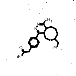 CC1=NN=C(c2ccc(CC(=O)C(C)C)cc2)C2CCC(CC(C)C)CCCC12